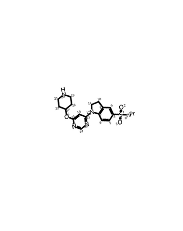 CCCS(=O)(=O)c1ccc2c(c1)CCN2c1cc(OC2CCNCC2)ncn1